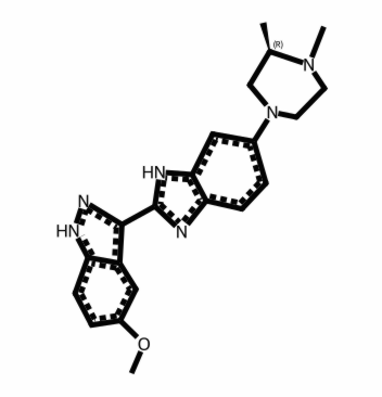 COc1ccc2[nH]nc(-c3nc4ccc(N5CCN(C)[C@H](C)C5)cc4[nH]3)c2c1